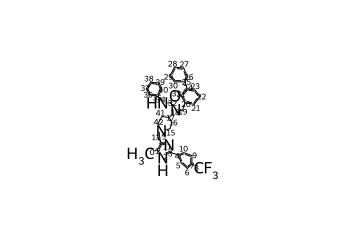 Cc1[nH]c(-c2ccc(C(F)(F)F)cc2)nc1CN1CCC(N(Cc2cccc(-c3ccccc3)c2)C(=O)Nc2ccccc2)CC1